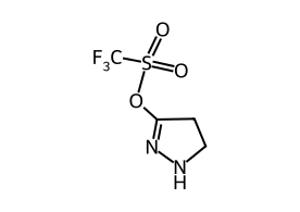 O=S(=O)(OC1=NNCC1)C(F)(F)F